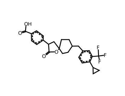 O=C(O)c1ccc(C2CC3(CCC(Cc4ccc(C5CC5)c(C(F)(F)F)c4)CC3)OC2=O)cc1